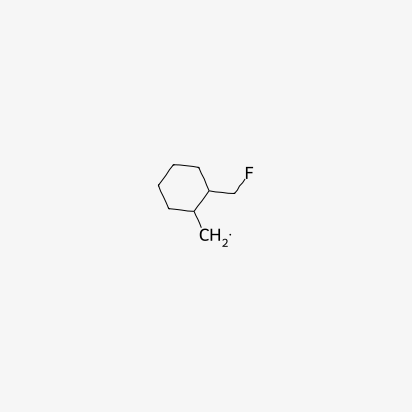 [CH2]C1CCCCC1CF